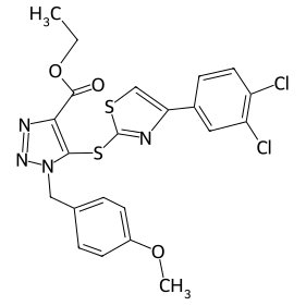 CCOC(=O)c1nnn(Cc2ccc(OC)cc2)c1Sc1nc(-c2ccc(Cl)c(Cl)c2)cs1